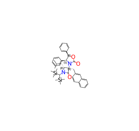 CC(C)C[C@H]1N(C([Si](C)(C)C)[Si](C)(C)C)C(=O)[C@]1(Cc1ccc2ccccc2c1)N1C(=O)O[C@H](c2ccccc2)[C@@H]1c1ccccc1